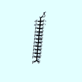 COCC(F)(F)C(F)(F)C(F)(F)C(F)(F)C(F)(F)C(F)(F)C(F)(F)C(F)(F)C(F)(F)C(F)(F)C(F)(F)C(F)F